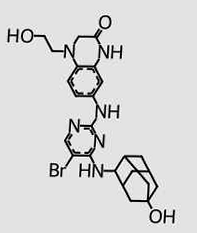 O=C1CN(CCO)c2ccc(Nc3ncc(Br)c(NC4C5CC6CC4CC(O)(C6)C5)n3)cc2N1